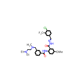 CCN(CC)CCN(C)Cc1cccc(C(=O)Nc2ccc(OC)cc2C(=O)N/N=C/c2ccc(Cl)c(C(F)(F)F)c2)c1